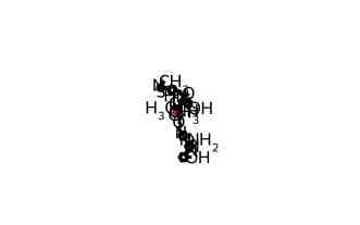 Cc1ncsc1-c1ccc(CNC(=O)[C@@H]2C[C@@H](O)CN2C(=O)C(NC(=O)COCCN2CCN(c3cc(-c4ccccc4O)nnc3N)CC2)C(C)(C)C)cc1